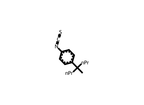 CCCC(C)(CCC)c1ccc(N=C=S)cc1